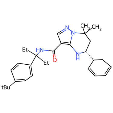 CCC(CC)(NC(=O)c1cnn2c1N[C@@H](C1C=CC=CC1)CC2(C)C)c1ccc(C(C)(C)C)cc1